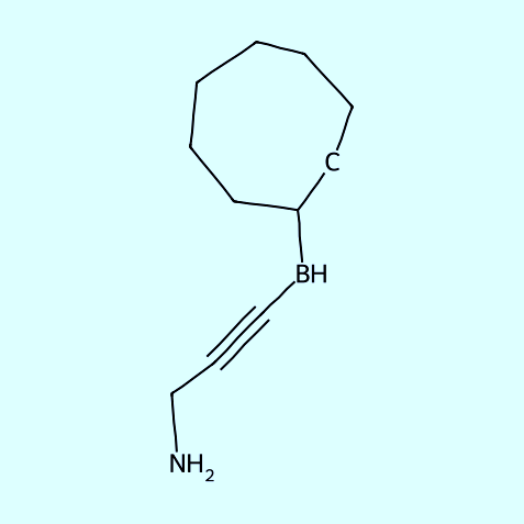 NCC#CBC1CCCCCCC1